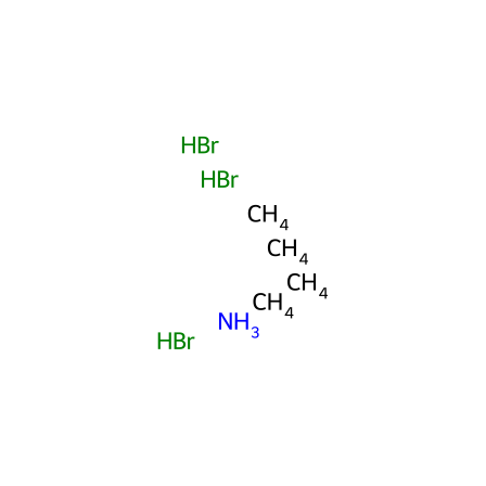 Br.Br.Br.C.C.C.C.N